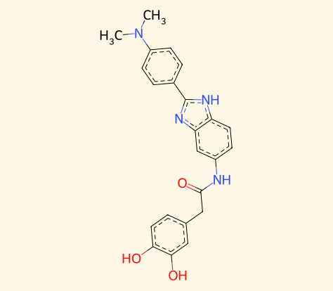 CN(C)c1ccc(-c2nc3cc(NC(=O)Cc4ccc(O)c(O)c4)ccc3[nH]2)cc1